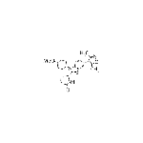 COC1CCC(n2c([C@@H]3CCCC(=O)N3)nc3cc(-c4c(C)noc4C)ccc32)CC1